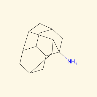 NC12CC3CC4C5CC(CC41)CC2C5C3